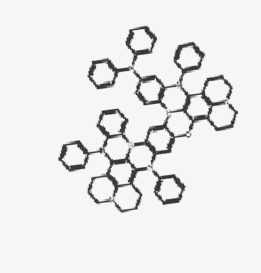 c1ccc(N(c2ccccc2)c2ccc3c(c2)N(c2ccccc2)c2c4c5c(c6c2B3c2cc3c(cc2O6)N(c2ccccc2)c2c6c7c(c8c2B3c2ccccc2N8c2ccccc2)CCCN7CCC6)CCCN5CCC4)cc1